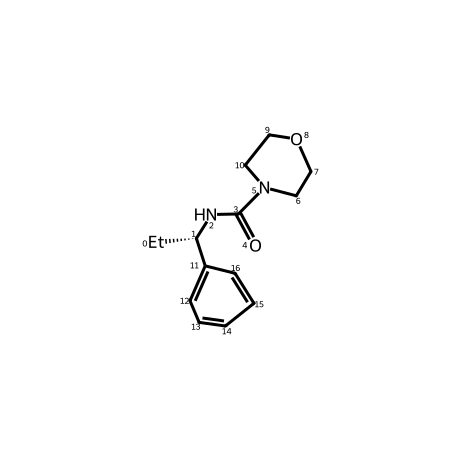 CC[C@H](NC(=O)N1CCOCC1)c1ccccc1